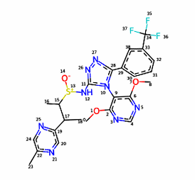 COc1ncnc(OC)c1-n1c(N[S+]([O-])C(C)C(C)c2cnc(C)cn2)nnc1-c1cccc(C(F)(F)F)c1